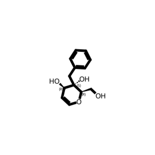 OC[C@H]1OC=C[C@@H](O)[C@@]1(O)Cc1ccccc1